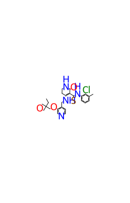 CCC1(COc2cnccc2CNC2=C(C(=S)Nc3cccc(C)c3Cl)C(=O)NCC2)COC1